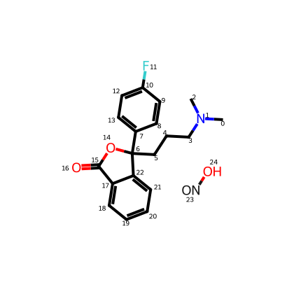 CN(C)CCCC1(c2ccc(F)cc2)OC(=O)c2ccccc21.O=NO